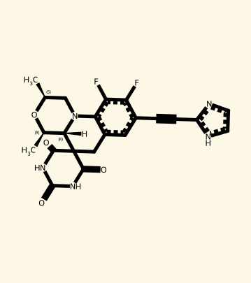 C[C@H]1CN2c3c(cc(C#Cc4ncc[nH]4)c(F)c3F)CC3(C(=O)NC(=O)NC3=O)[C@@H]2[C@@H](C)O1